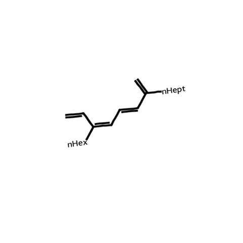 C=CC(=CC=CC(=C)CCCCCCC)CCCCCC